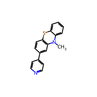 CN1c2ccccc2Sc2ccc(-c3ccncc3)cc21